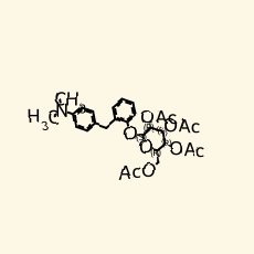 CC(=O)OC[C@H]1O[C@@H](Oc2ccccc2Cc2ccc(N(C)C)cc2)[C@H](OC(C)=O)[C@@H](OC(C)=O)[C@@H]1OC(C)=O